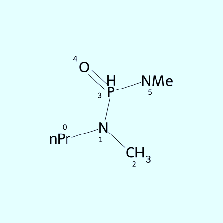 CCCN(C)[PH](=O)NC